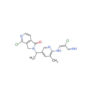 Cc1cc(C(C)N2Cc3c(ccnc3Cl)C2=O)cnc1N/C=C(/Cl)C=N